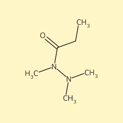 CCC(=O)N(C)N(C)C